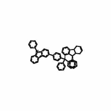 C1=CCC2C(C1)c1cccc3c1C2(c1ccccc1)c1ccccc1C3(c1ccccc1)c1ccc(-c2ccc3c(c2)c2ccccc2n3-c2ccccc2)cc1